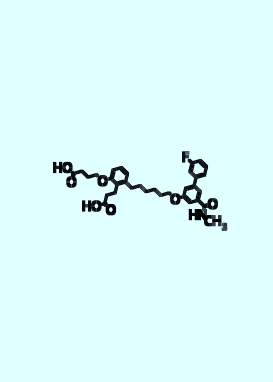 CNC(=O)c1cc(OCCCCCCc2cccc(OCCCC(=O)O)c2CCC(=O)O)cc(-c2cccc(F)c2)c1